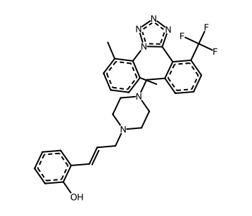 Cc1cccc(C)c1-n1nnnc1-c1c(CN2CCN(CC=Cc3ccccc3O)CC2)cccc1C(F)(F)F